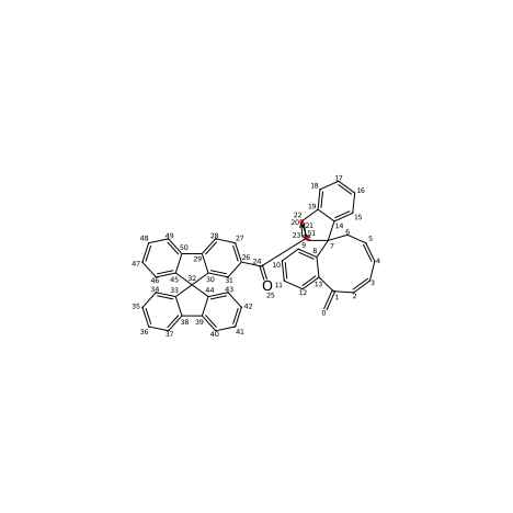 C=C1/C=C\C=C/CC2(c3ccccc31)c1ccccc1-c1ccc(C(=O)c3ccc4c(c3)C3(c5ccccc5-c5ccccc53)c3ccccc3-4)cc12